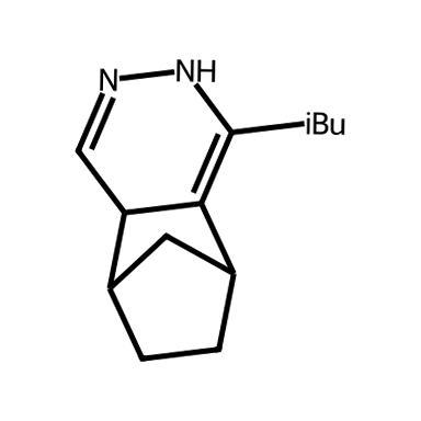 CCC(C)C1=C2C3CCC(C3)C2C=NN1